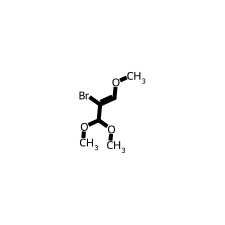 CO/C=C(\Br)C(OC)OC